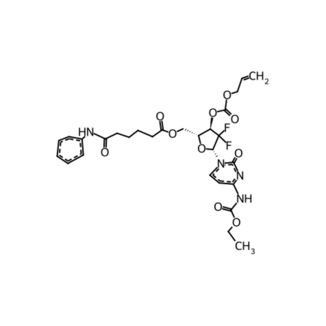 C=CCOC(=O)O[C@@H]1[C@@H](COC(=O)CCCCC(=O)Nc2ccccc2)O[C@@H](n2ccc(NC(=O)OCC)nc2=O)C1(F)F